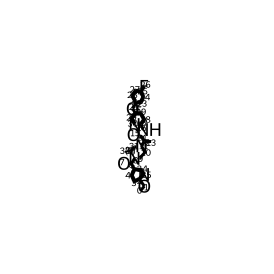 COc1ccc(C(=O)N2CCN(C(C)C(=O)Nc3ccc(Oc4ccc(F)cc4)cn3)C[C@@H]2C)cn1